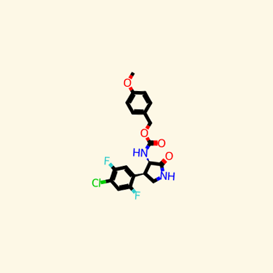 COc1ccc(COC(=O)N[C@@H]2C(=O)NC[C@H]2c2cc(F)c(Cl)cc2F)cc1